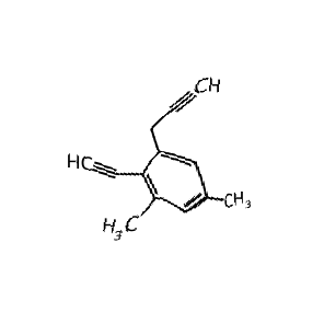 C#CCc1cc(C)cc(C)c1C#C